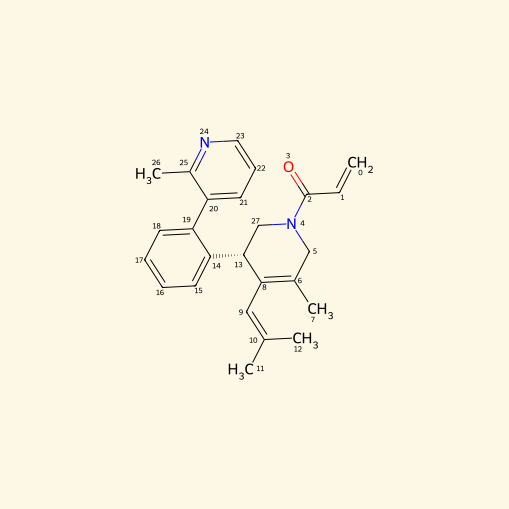 C=CC(=O)N1CC(C)=C(C=C(C)C)[C@H](c2ccccc2-c2cccnc2C)C1